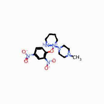 CN1CCN([N+]2(Oc3ccc([N+](=O)[O-])cc3[N+](=O)[O-])CCCCN2)CC1